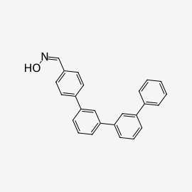 O/N=C\c1ccc(-c2cccc(-c3cccc(-c4ccccc4)c3)c2)cc1